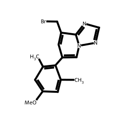 COc1cc(C)c(-c2cc(CBr)c3ncnn3c2)c(C)c1